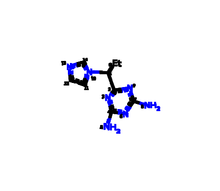 CCC(c1nc(N)nc(N)n1)n1ccnc1